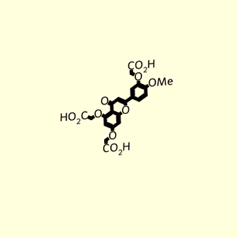 COc1ccc(-c2cc(=O)c3c(OCC(=O)O)cc(OCC(=O)O)cc3o2)cc1OCC(=O)O